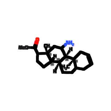 COC(=O)C1CC[C@H]2[C@@H]3CCC4CC=CC[C@]4(C)[C@@H]3C(N)C[C@]12C